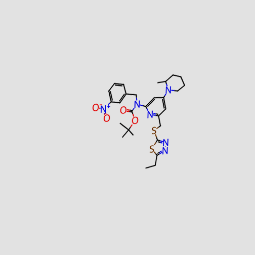 CCc1nnc(SCc2cc(N3CCCCC3C)cc(N(Cc3cccc([N+](=O)[O-])c3)C(=O)OC(C)(C)C)n2)s1